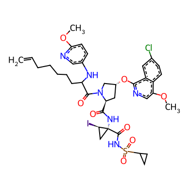 C=CCCCCCC(Nc1ccc(OC)nc1)C(=O)N1C[C@H](Oc2ncc(OC)c3ccc(Cl)cc23)C[C@H]1C(=O)N[C@]1(C(=O)NS(=O)(=O)C2CC2)C[C@H]1I